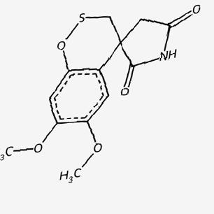 COc1cc2c(cc1OC)C1(CSO2)CC(=O)NC1=O